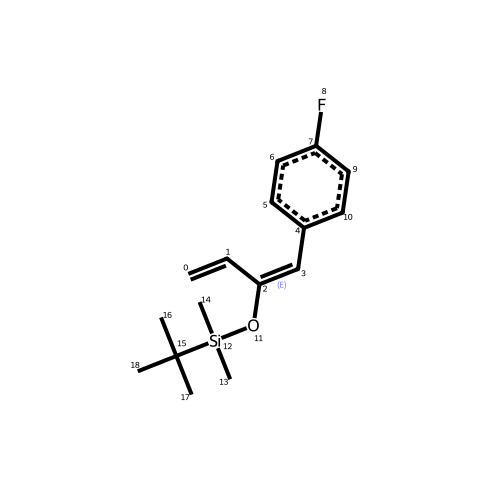 C=C/C(=C\c1ccc(F)cc1)O[Si](C)(C)C(C)(C)C